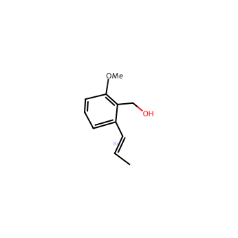 C/C=C/c1cccc(OC)c1CO